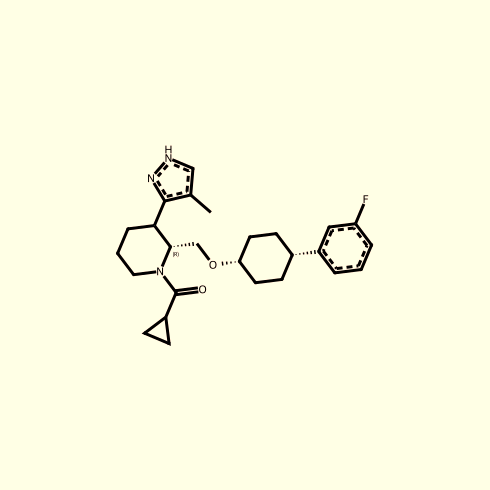 Cc1c[nH]nc1C1CCCN(C(=O)C2CC2)[C@H]1CO[C@H]1CC[C@@H](c2cccc(F)c2)CC1